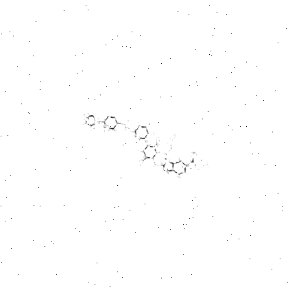 COCCn1c(Cc2cc(F)c(-c3cccc(OCc4ccc(-n5ccnc5)nc4)n3)cc2F)nc2ccc(C(=O)O)cc21